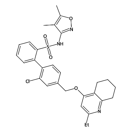 CCc1cc(OCc2ccc(-c3ccccc3S(=O)(=O)Nc3noc(C)c3C)c(Cl)c2)c2c(n1)CCCC2